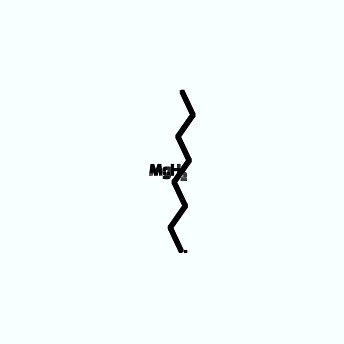 [CH2]CCCCCCC.[MgH2]